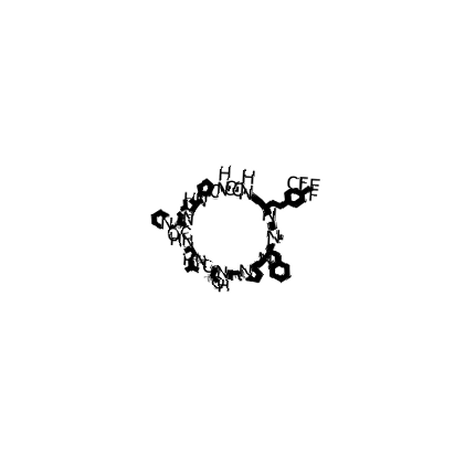 CO[C@H](C)[C@@H]1CN[C@@H](CC(C)C)C(C)NCC2[C@@H](C(=O)N3CCCCC3)C(C)N2[C@@H](C(C)C)C(C)NC2(CCCC2)CNCCNC=CC(CCc2ccc(C(F)(F)F)c(Cl)c2)=NC=CN(C)C=C(CC2CCCCC2)N(C)C=C2CCCN2[C@@H](C)C(C)N1